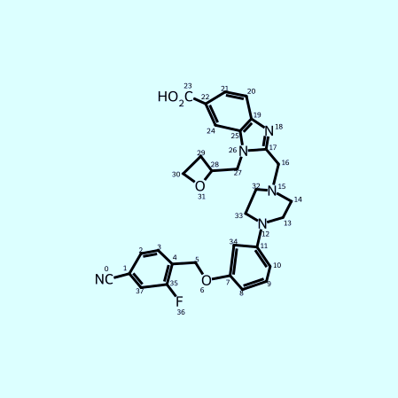 N#Cc1ccc(COc2cccc(N3CCN(Cc4nc5ccc(C(=O)O)cc5n4CC4CCO4)CC3)c2)c(F)c1